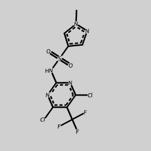 Cn1cc(S(=O)(=O)Nc2nc(Cl)c(C(F)(F)F)c(Cl)n2)cn1